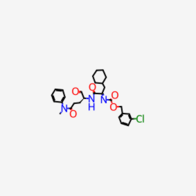 CN(C(=O)CC[C@@H](C=O)NC(=O)/C(CC1CCCCC1)=N/C(=O)OCc1cccc(Cl)c1)c1ccccc1